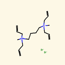 C=CC[N+](C)(CC=C)CCCC[N+](C)(CC=C)CC=C.[Br-].[Br-]